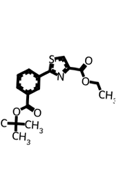 CCOC(=O)c1csc(-c2cccc(C(=O)OC(C)(C)C)c2)n1